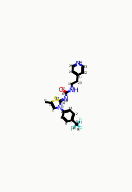 Cc1cn(-c2ccc(C(F)(F)F)cc2)/c(=N/C(=O)NCCc2ccncc2)s1